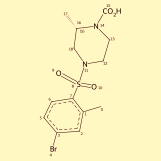 Cc1cc(Br)ccc1S(=O)(=O)N1CCN(C(=O)O)[C@@H](C)C1